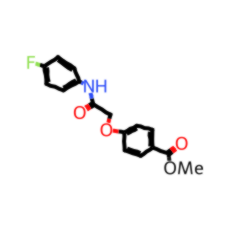 COC(=O)c1ccc(OCC(=O)Nc2ccc(F)cc2)cc1